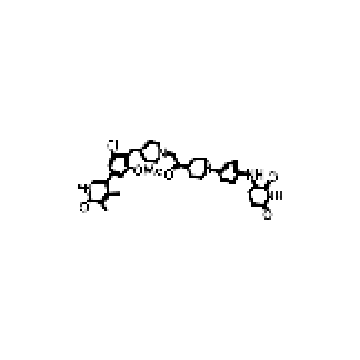 COc1cc(-c2cn(C)c(=O)c(C)c2C)cc(Cl)c1CC1CCN(CC(=O)C2CCN(c3ccc(NC4CCC(=O)NC4=O)cc3)CC2)CC1